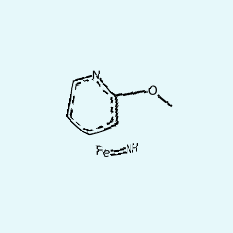 COc1ccccn1.[NH]=[Fe]